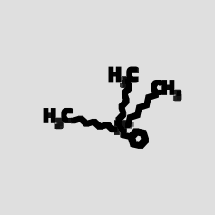 CCCCCCCC[N+](CCCCCCCC)(CCCCCCCC)Cc1ccccc1